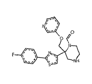 O=CN1CCNCC1(COc1cccnc1)c1csc(-c2ccc(F)cc2)n1